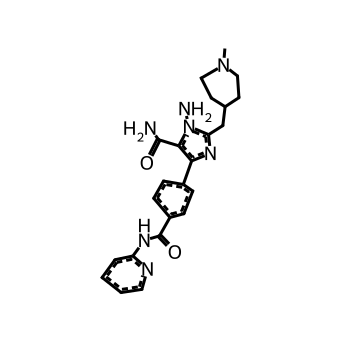 CN1CCC(Cc2nc(-c3ccc(C(=O)Nc4ccccn4)cc3)c(C(N)=O)n2N)CC1